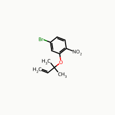 C=CC(C)(C)Oc1cc(Br)ccc1[N+](=O)[O-]